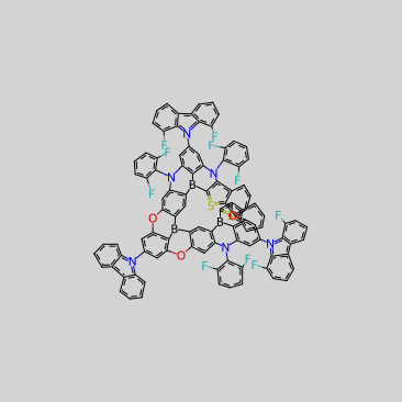 Fc1cccc(F)c1N1c2cc3c(cc2B2c4sc5ccccc5c4Oc4cc(-n5c6c(F)cccc6c6cccc(F)c65)cc1c42)B1c2cc4c(cc2Oc2cc(-n5c6ccccc6c6ccccc65)cc(c21)O3)N(c1c(F)cccc1F)c1cc(-n2c3c(F)cccc3c3cccc(F)c32)cc2c1B4c1sc3ccccc3c1N2c1c(F)cccc1F